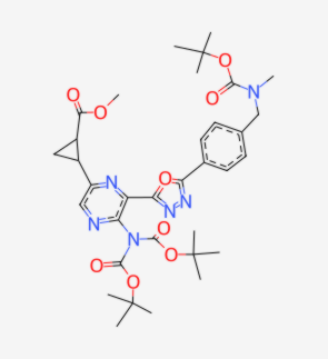 COC(=O)C1CC1c1cnc(N(C(=O)OC(C)(C)C)C(=O)OC(C)(C)C)c(-c2nnc(-c3ccc(CN(C)C(=O)OC(C)(C)C)cc3)o2)n1